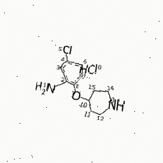 Cl.Nc1cc(Cl)ccc1OC1CCNCC1